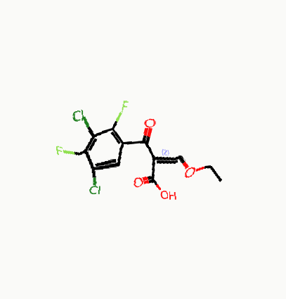 CCO/C=C(\C(=O)O)C(=O)c1cc(Cl)c(F)c(Cl)c1F